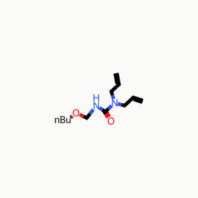 C=CCN(CC=C)C(=O)NCOCCCC